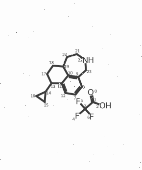 O=C(O)C(F)(F)F.c1cc2c3c(c1)C(C1CC1)CCC3CCNC2